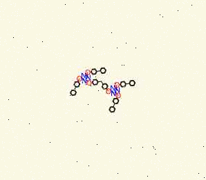 c1ccc(-c2ccc(Oc3nc(Oc4ccc(Cc5ccc(Oc6nc(Oc7ccc(-c8ccccc8)cc7)nc(Oc7ccc(-c8ccccc8)cc7)n6)cc5)cc4)nc(Oc4ccc(-c5ccccc5)cc4)n3)cc2)cc1